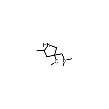 COC1(CN(C)C)CNC(C)C1